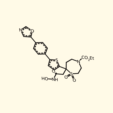 CCOC(=O)N1CCC(CC(=O)NO)(c2ccc(-c3ccc(-c4cnco4)cc3)s2)S(=O)(=O)CC1